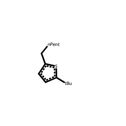 CCCCCCc1ccc(C(C)(C)C)s1